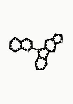 c1ccc2nc(-n3c4ccccc4c4cc5sccc5cc43)ccc2c1